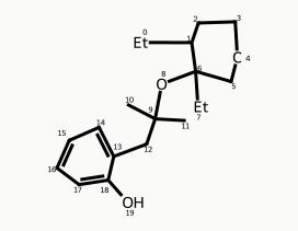 CCC1CCCCC1(CC)OC(C)(C)Cc1ccccc1O